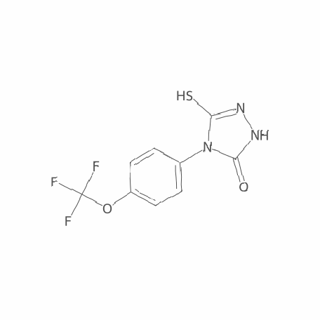 O=c1[nH]nc(S)n1-c1ccc(OC(F)(F)F)cc1